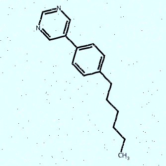 CCCCCCc1ccc(-c2cncnc2)cc1